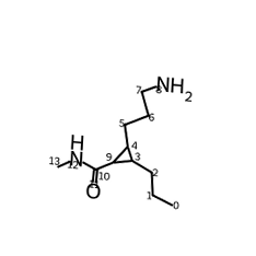 CCCC1C(CCCN)C1C(=O)NC